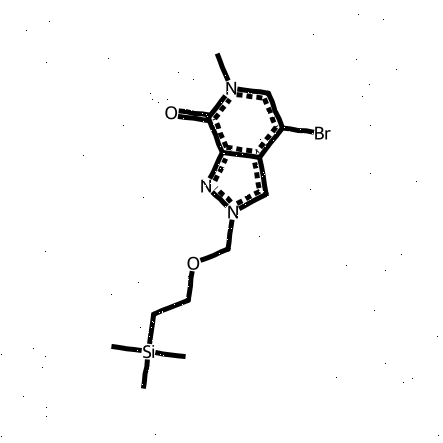 Cn1cc(Br)c2cn(COCC[Si](C)(C)C)nc2c1=O